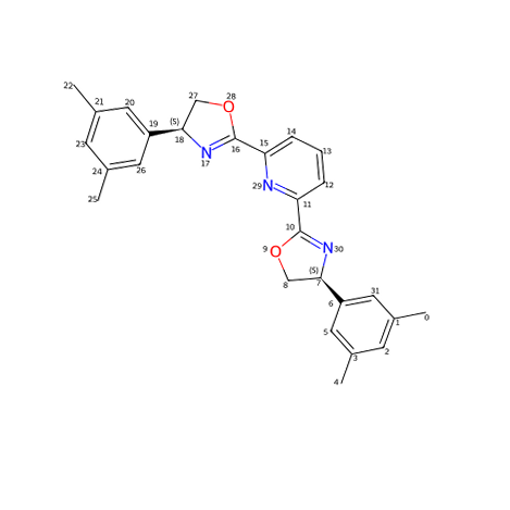 Cc1cc(C)cc([C@H]2COC(c3cccc(C4=N[C@@H](c5cc(C)cc(C)c5)CO4)n3)=N2)c1